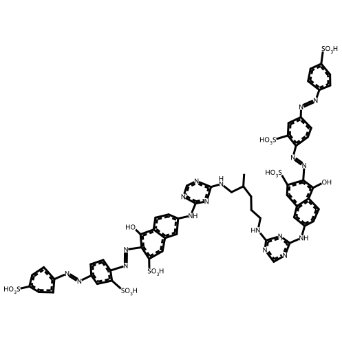 CC(CCCNc1ncnc(Nc2ccc3c(O)c(N=Nc4ccc(N=Nc5ccc(S(=O)(=O)O)cc5)cc4S(=O)(=O)O)c(S(=O)(=O)O)cc3c2)n1)CNc1ncnc(Nc2ccc3c(O)c(N=Nc4ccc(N=Nc5ccc(S(=O)(=O)O)cc5)cc4S(=O)(=O)O)c(S(=O)(=O)O)cc3c2)n1